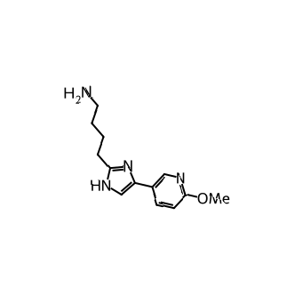 COc1ccc(-c2c[nH]c(CCCCN)n2)cn1